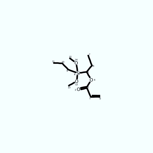 C=CC(=O)OC(CC)[Si](CCC)(OC)OC